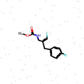 CC(C)(C)OC(=O)NCC(=CF)Cc1ccc(F)cc1